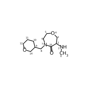 CNC1COCCN(CC2CCCOC2)C1=O